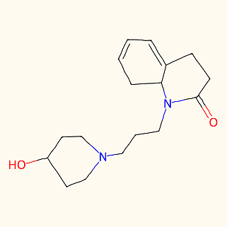 O=C1CCC2=CC=CCC2N1CCCN1CCC(O)CC1